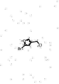 ClCc1coc(Br)c1